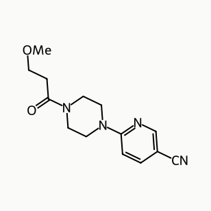 COCCC(=O)N1CCN(c2ccc(C#N)cn2)CC1